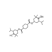 CC(C)C1CC(OC(=O)C2CCC(C(=O)OC3CC(C(C)C)N(O)C(C)(C)C3)CC2)CC(C)(C)N1O